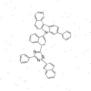 c1ccc(-c2ccc3c4c5ccccc5ccc4n(-c4ccc(-c5nc(-c6ccccc6)nc(-c6ccc7ccccc7c6)n5)c5ccccc45)c3c2)cc1